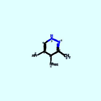 CCCCCC1C(CCC)=CNN=C1C